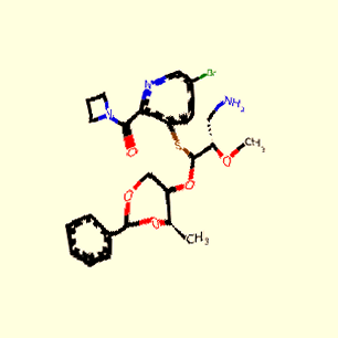 CO[C@@H](CN)C(OC1COC(c2ccccc2)O[C@@H]1C)Sc1cc(Br)cnc1C(=O)N1CCC1